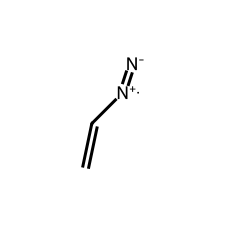 C=C[N+]=[N-]